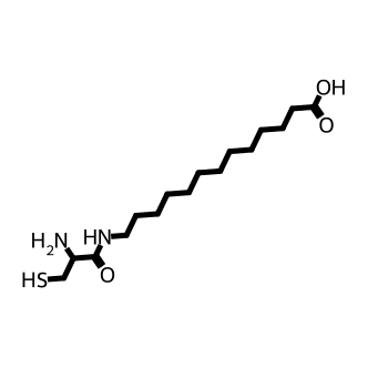 NC(CS)C(=O)NCCCCCCCCCCCCC(=O)O